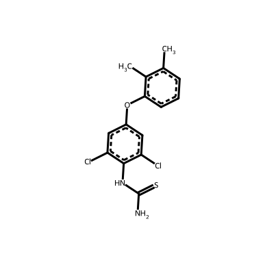 Cc1cccc(Oc2cc(Cl)c(NC(N)=S)c(Cl)c2)c1C